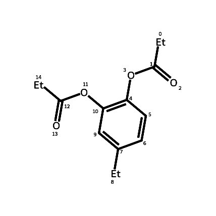 CCC(=O)Oc1ccc(CC)cc1OC(=O)CC